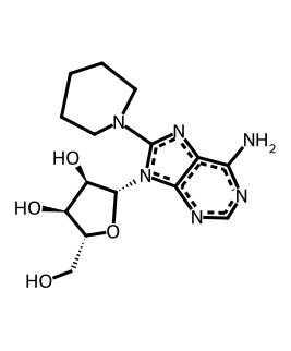 Nc1ncnc2c1nc(N1CCCCC1)n2[C@@H]1O[C@H](CO)[C@@H](O)[C@H]1O